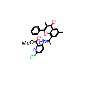 COC(=O)c1nc(Cl)ccc1N[C@H](C)c1cc(C)cc2c(=O)c(C)c(-c3ccccc3)oc12